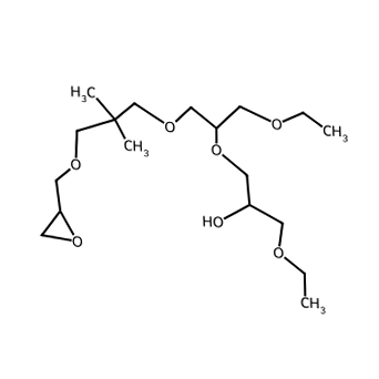 CCOCC(O)COC(COCC)COCC(C)(C)COCC1CO1